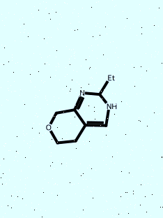 CCC1N=C2COCCC2=CN1